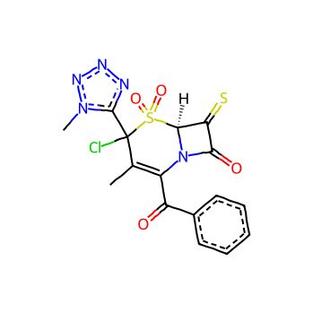 CC1=C(C(=O)c2ccccc2)N2C(=O)C(=S)[C@@H]2S(=O)(=O)C1(Cl)c1nnnn1C